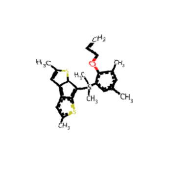 C=CCOc1c(C)cc(C)cc1[Si](C)(C)C1=c2sc(C)cc2=C2C=C(C)SC21